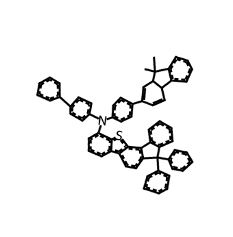 CC1(C)c2ccccc2C2C=CC(c3ccc(N(c4ccc(-c5ccccc5)cc4)c4cccc5c4sc4c6c(ccc45)C(c4ccccc4)(c4ccccc4)c4ccccc4-6)cc3)=CC21